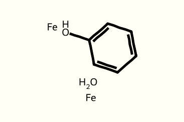 O.Oc1ccccc1.[Fe].[Fe]